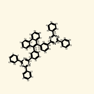 c1ccc(-c2nc(-c3ccccc3)nc(-c3cccc(-c4c(-c5cccc(-c6nc(-c7ccccc7)nc(-c7ccccc7)n6)c5)c5ccccc5c5ccccc45)c3)n2)cc1